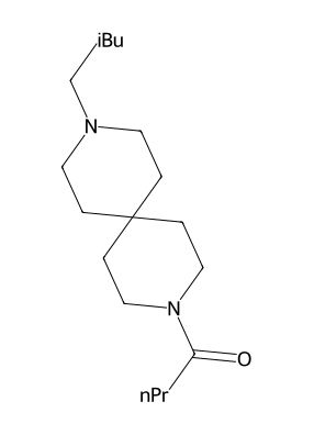 CCCC(=O)N1CCC2(CCN(CC(C)CC)CC2)CC1